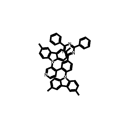 Cc1ccc2c(c1)c1cc(C)ccc1n2-c1ccc(-c2nc(-c3ccccc3)nc(-c3ccccc3)n2)cc1-c1ccncc1-n1c2ccc(C)cc2c2cc(C)ccc21